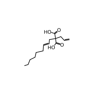 C=CCC(CC=CCCCCCC)(C(=O)O)C(=O)O